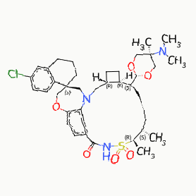 C[C@@H]1[C@@H](C)CCC[C@H]([C@H]2OC[C@](C)(N(C)C)CO2)[C@@H]2CC[C@H]2CN2C[C@@]3(CCCc4cc(Cl)ccc43)COc3ccc(cc32)C(=O)NS1(=O)=O